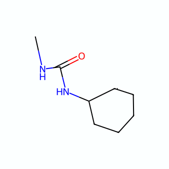 CNC(=O)NC1[CH]CCCC1